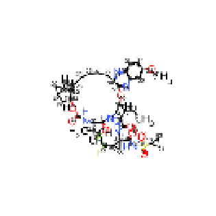 CC[C@@H]1[C@@H]2CN(C(=O)[C@H](C(C)(C)C)NC(=O)O[C@@H]3CC4C[C@@H]4[C@H]3CCCCCc3nc4ccc(OC)cc4nc3O2)[C@@H]1C(=O)N[C@]1(C(=O)NS(=O)(=O)C2CC2)C[C@H]1C(F)F